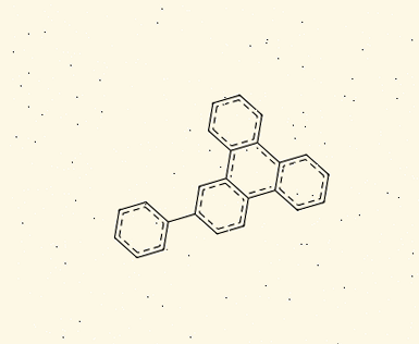 [c]1ccccc1-c1ccc2c3ccccc3c3ccccc3c2c1